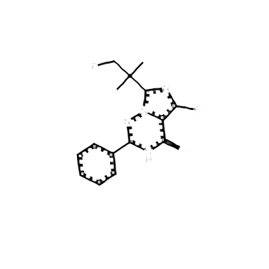 CCc1nc(C(C)(C)CF)n2nc(-c3ccccc3)[nH]c(=O)c12